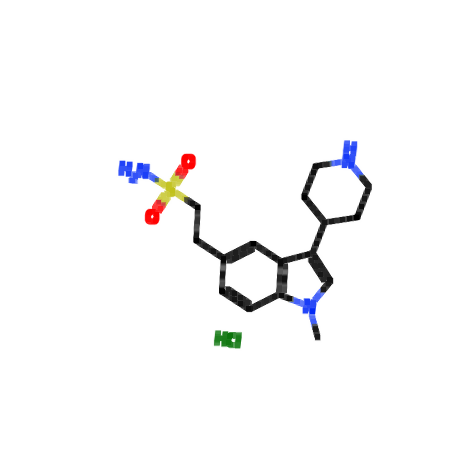 Cl.Cn1cc(C2CCNCC2)c2cc(CCS(N)(=O)=O)ccc21